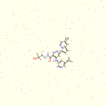 CC(C)(O)C(F)CNC(=O)c1cnc(-c2ccc3cc(C#N)cnn23)cc1Nc1cncc(C2CC2)c1